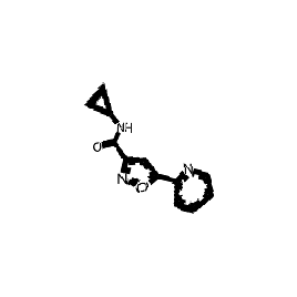 O=C(NC1CC1)c1cc(-c2ccccn2)on1